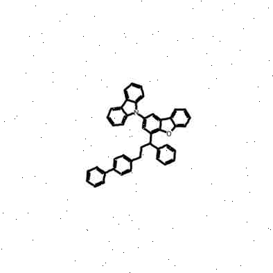 c1ccc(-c2ccc(CCC(c3ccccc3)c3cc(-n4c5ccccc5c5ccccc54)cc4c3oc3ccccc34)cc2)cc1